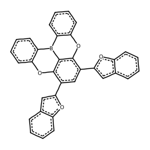 c1ccc2c(c1)Oc1c(-c3cc4ccccc4o3)cc(-c3cc4ccccc4o3)c3c1B2c1ccccc1O3